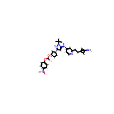 CC(C)(C)n1nc([C@H]2CC[C@@H](OC(=O)Oc3ccc([N+](=O)[O-])cc3)C2)cc1Nc1ccnc(CCC23CC(N)(C2)C3)c1